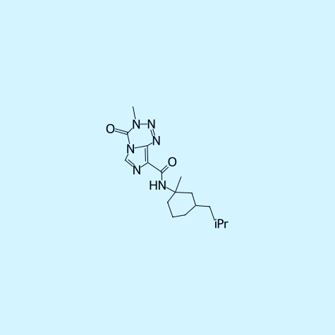 CC(C)CC1CCCC(C)(NC(=O)c2ncn3c(=O)n(C)nnc23)C1